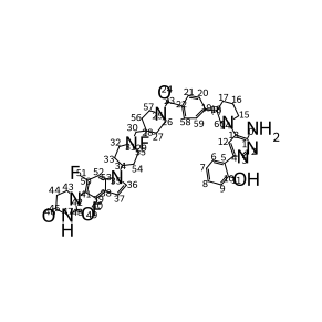 Nc1nnc(-c2ccccc2O)cc1N1CCC[C@H](c2ccc(C(=O)N3CCC(F)(CN4CCC(n5ccc6c(F)c(N7CCC(=O)NC7=O)c(F)cc65)CC4)CC3)cc2)C1